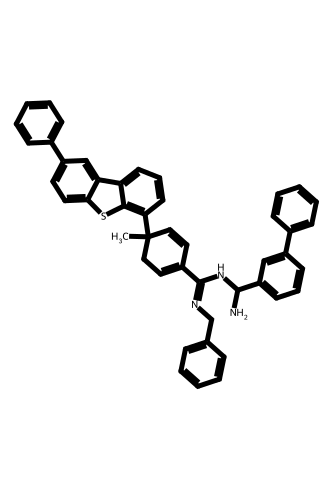 CC1(c2cccc3c2sc2ccc(-c4ccccc4)cc23)C=CC(/C(=N/Cc2ccccc2)NC(N)c2cccc(-c3ccccc3)c2)=CC1